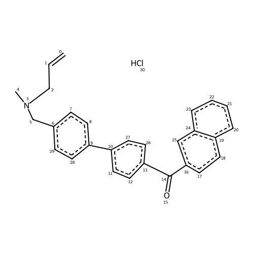 C=CCN(C)Cc1ccc(-c2ccc(C(=O)c3ccc4ccccc4c3)cc2)cc1.Cl